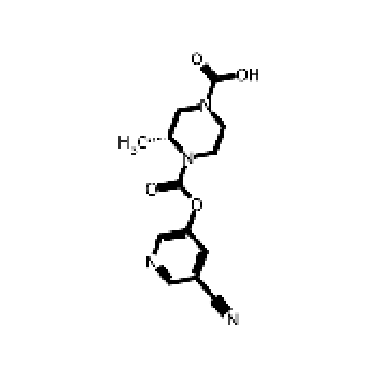 C[C@@H]1CN(C(=O)O)CCN1C(=O)Oc1cncc(C#N)c1